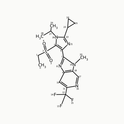 CCS(=O)(=O)c1c(-c2nc3cc(C(F)(F)F)ncc3n2C)nc(C2CC2)n1C(C)C